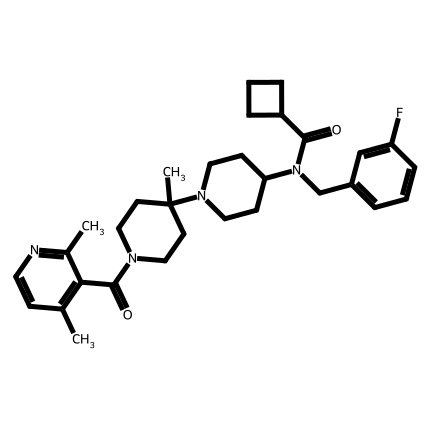 Cc1ccnc(C)c1C(=O)N1CCC(C)(N2CCC(N(Cc3cccc(F)c3)C(=O)C3CCC3)CC2)CC1